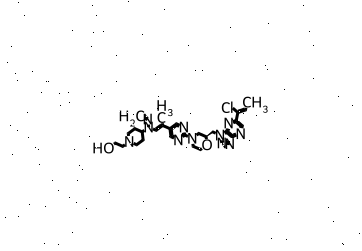 C=NN(/C=C(\C)c1cnc(N2CCO[C@H](Cn3nnc4ncc(/C(Cl)=C/C)nc43)C2)nc1)C1CCN(CCO)CC1